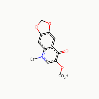 CCn1cc(OC(=O)O)c(=O)c2cc3c(cc21)OCO3